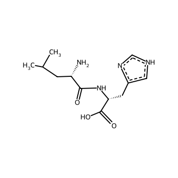 CC(C)C[C@H](N)C(=O)N[C@H](Cc1c[nH]cn1)C(=O)O